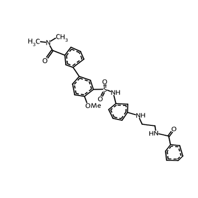 COc1ccc(-c2cccc(C(=O)N(C)C)c2)cc1S(=O)(=O)Nc1cccc(NCCNC(=O)c2ccccc2)c1